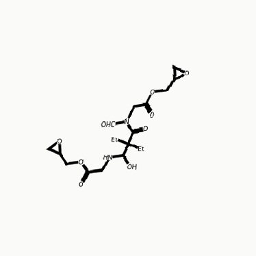 CCC(CC)(C(=O)N(C=O)CC(=O)OCC1CO1)C(O)NCC(=O)OCC1CO1